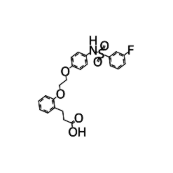 O=C(O)CCc1ccccc1OCCOc1ccc(NS(=O)(=O)c2cccc(F)c2)cc1